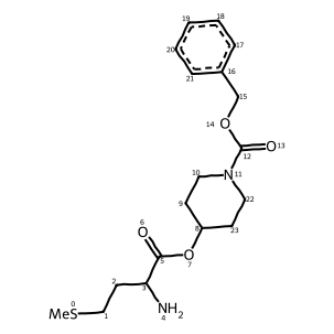 CSCCC(N)C(=O)OC1CCN(C(=O)OCc2ccccc2)CC1